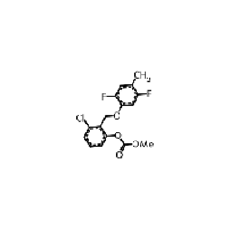 COC(=O)Oc1cccc(Cl)c1COc1cc(F)c(C)cc1F